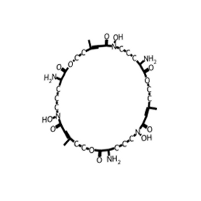 CC1=CC(=O)N(O)CCCC(N)C(=O)OCCC(C)=CC(=O)N(O)CCCC(N)C(=O)OCCC(C)=CC(=O)N(O)CCCC(N)C(=O)OCC1